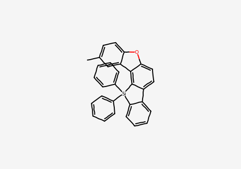 Cc1ccc2oc3ccc4c(c3c2c1)[Si](c1ccccc1)(c1ccccc1)c1ccccc1-4